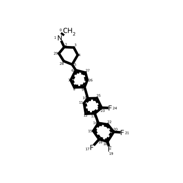 C=NC1CCC(c2ccc(-c3ccc(-c4cc(F)c(F)c(F)c4)c(F)c3)cc2)CC1